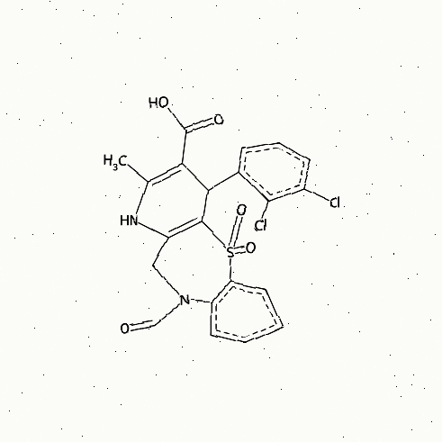 CC1=C(C(=O)O)C(c2cccc(Cl)c2Cl)C2=C(CN(C=O)c3ccccc3S2(=O)=O)N1